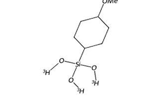 [3H]O[Si](O[3H])(O[3H])C1CCC(OC)CC1